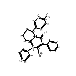 O=c1c(-c2ccccc2)c(O)[n+](-c2ccccc2)c2n1C(c1ccc(Cl)nc1)CCC2